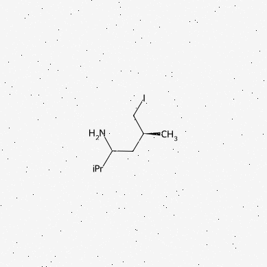 CC(C)C(N)C[C@H](C)CI